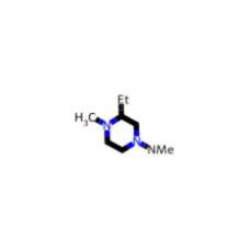 CCC1CN(NC)CCN1C